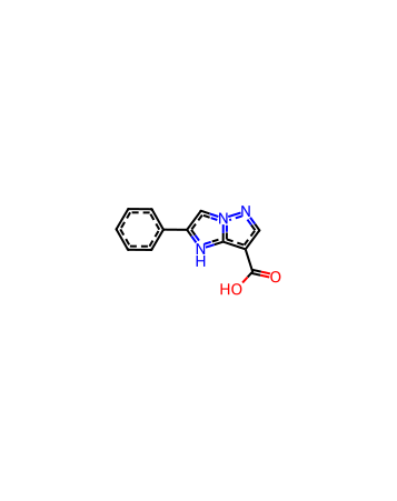 O=C(O)c1cnn2cc(-c3ccccc3)[nH]c12